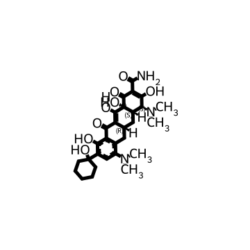 CN(C)c1cc(C2(O)CCCCC2)c(O)c2c1C[C@H]1C[C@H]3[C@H](N(C)C)C(O)=C(C(N)=O)C(=O)[C@@]3(O)C(O)=C1C2=O